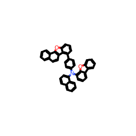 c1ccc2c(N(c3ccc(-c4cccc5oc6c7ccccc7ccc6c45)cc3)c3cccc4c3oc3ccccc34)cccc2c1